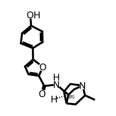 CC1CC2CCN1C[C@@H]2NC(=O)c1ccc(-c2ccc(O)cc2)o1